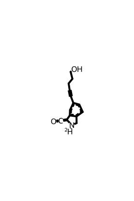 [2H]N1Cc2ccc(C#CCCCO)cc2C1=C=O